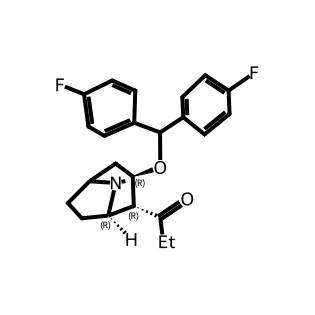 CCC(=O)[C@@H]1[C@H]2CCC(C[C@H]1OC(c1ccc(F)cc1)c1ccc(F)cc1)N2C